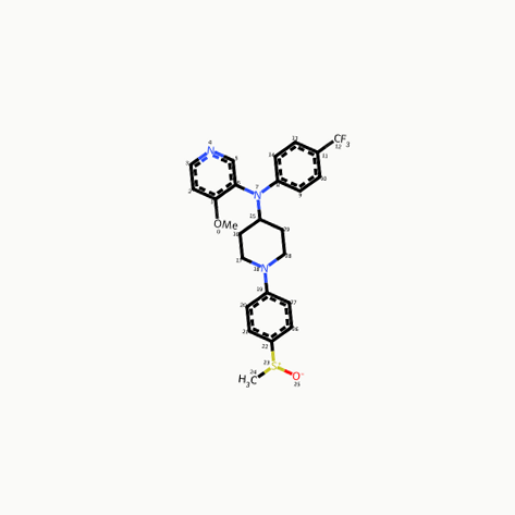 COc1ccncc1N(c1ccc(C(F)(F)F)cc1)C1CCN(c2ccc([S+](C)[O-])cc2)CC1